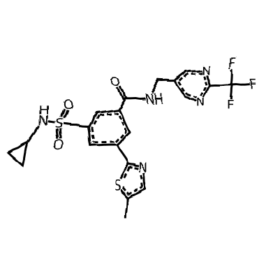 Cc1cnc(-c2cc(C(=O)NCc3cnc(C(F)(F)F)nc3)cc(S(=O)(=O)NC3CC3)c2)s1